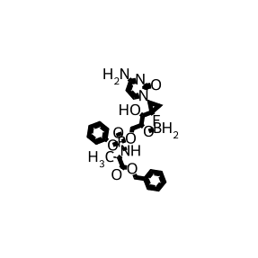 BOC(COP(=O)(N[C@@H](C)C(=O)OCc1ccccc1)Oc1ccccc1)C(O)C1(F)C[C@H]1n1ccc(N)nc1=O